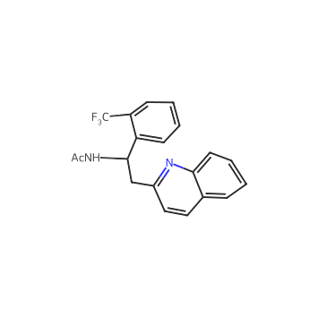 CC(=O)NC(Cc1ccc2ccccc2n1)c1ccccc1C(F)(F)F